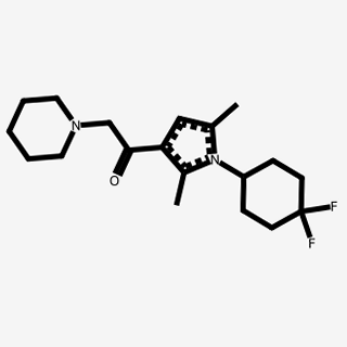 Cc1cc(C(=O)CN2CCCCC2)c(C)n1C1CCC(F)(F)CC1